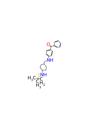 CC(C)(C)SNC1CCC(CNc2ccc(C(=O)c3ccccc3)cc2)CC1